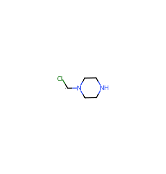 Cl[CH]N1CCNCC1